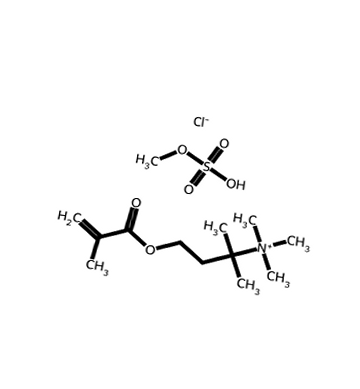 C=C(C)C(=O)OCCC(C)(C)[N+](C)(C)C.COS(=O)(=O)O.[Cl-]